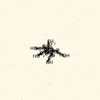 C=CC(=O)OCC(COCC(COC(=O)C=C)(COC(=O)CCSCCO)COC(=O)CCSCCO)(COC(=O)CCSCCO)COC(=O)CCSCCO